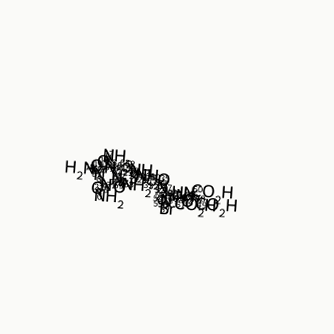 NC(=O)CN1CCN(CC(N)=O)CCN(CC(N)=O)C(Cc2ccc(NC(=S)NCC3CCC(C(=O)N(CCCC[C@@H](NC(=O)N[C@H](CCC(=O)O)C(=O)O)C(=O)O)Cc4ccc(Br)nc4)CC3)cc2)CN(CC(N)=O)CC1